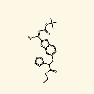 CCOC(=O)C(Oc1ccc2cc(/C(N)=N\C(=O)OC(C)(C)C)sc2c1)c1cccs1